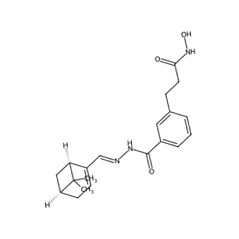 CC1(C)[C@H]2CC=C(/C=N/NC(=O)c3cccc(CCC(=O)NO)c3)[C@@H]1C2